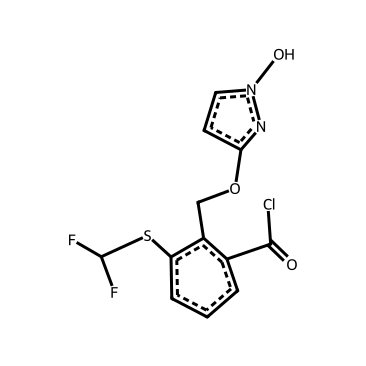 O=C(Cl)c1cccc(SC(F)F)c1COc1ccn(O)n1